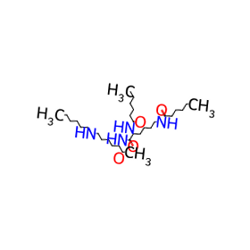 CCCCCCNCCCCC(NC(=O)C(CCCCNC(=O)CCCCC)NC(=O)CCCCC)C(C)=O